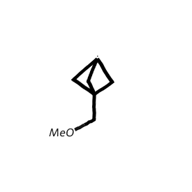 COCC12C[C](C1)C2